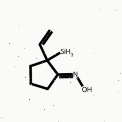 C=CC1([SiH3])CCCC1=NO